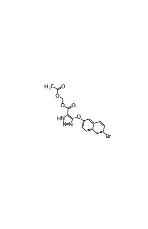 CC(=O)OCOC(=O)c1[nH]nnc1Oc1ccc2cc(Br)ccc2c1